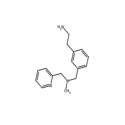 CN(Cc1cccc(CCN)c1)Cc1ccccn1